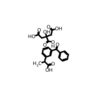 CC(C(=O)O)c1cccc(C(=O)c2ccccc2)c1.O=C(O)CC(O)(CC(=O)O)C(=O)O